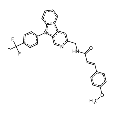 COc1ccc(/C=C/C(=O)NCc2cc3c4ccccc4n(-c4ccc(C(F)(F)F)cc4)c3cn2)cc1